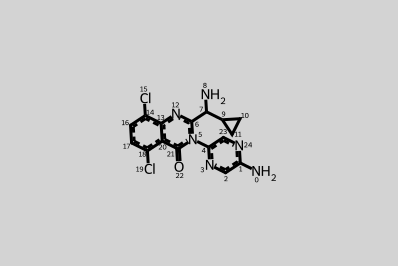 Nc1cnc(-n2c(C(N)C3CC3)nc3c(Cl)ccc(Cl)c3c2=O)cn1